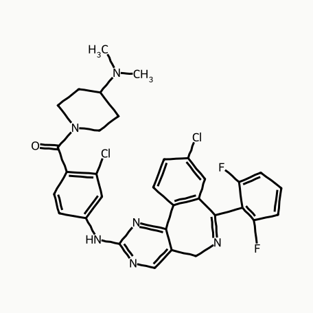 CN(C)C1CCN(C(=O)c2ccc(Nc3ncc4c(n3)-c3ccc(Cl)cc3C(c3c(F)cccc3F)=NC4)cc2Cl)CC1